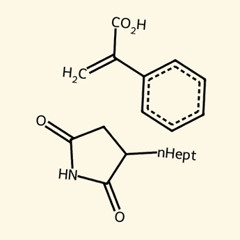 C=C(C(=O)O)c1ccccc1.CCCCCCCC1CC(=O)NC1=O